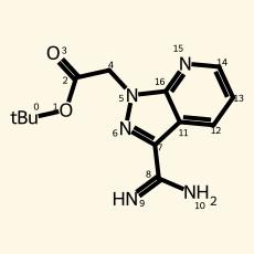 CC(C)(C)OC(=O)Cn1nc(C(=N)N)c2cccnc21